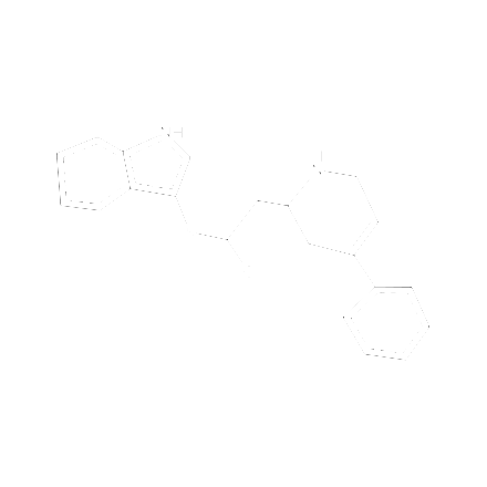 CC(CC1CC(c2ccccc2)=CCN1)Sc1c[nH]c2ccccc12